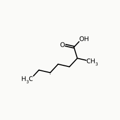 CC[CH]CCC(C)C(=O)O